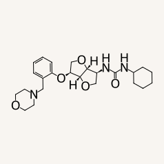 O=C(NC1CCCCC1)N[C@H]1CO[C@H]2[C@@H]1OC[C@@H]2Oc1ccccc1CN1CCOCC1